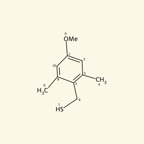 COc1cc(C)c(CS)c(C)c1